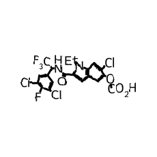 CCn1c(C(=O)NC(c2cc(Cl)c(F)c(Cl)c2)C(F)(F)F)cc2cc(OC(=O)O)c(Cl)cc21